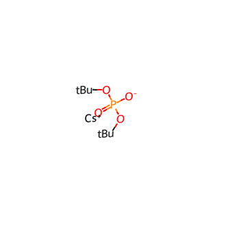 CC(C)(C)OP(=O)([O-])OC(C)(C)C.[Cs+]